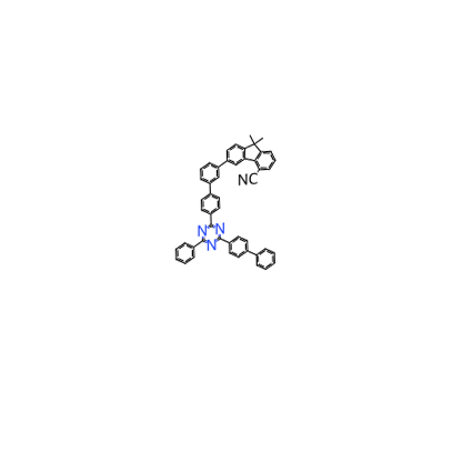 CC1(C)c2ccc(-c3cccc(-c4ccc(-c5nc(-c6ccccc6)nc(-c6ccc(-c7ccccc7)cc6)n5)cc4)c3)cc2-c2c(C#N)cccc21